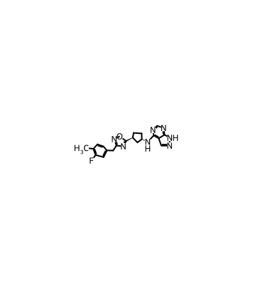 Cc1ccc(Cc2noc([C@H]3CC[C@H](Nc4ncnc5[nH]ncc45)C3)n2)cc1F